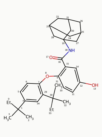 CCC(C)(C)c1ccc(Oc2ccc(O)cc2C(=O)NC23CC4CC(CC(C4)C2)C3)c(C(C)(C)CC)c1